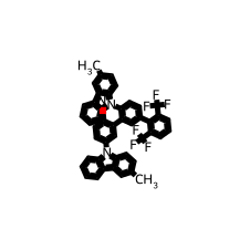 Cc1ccc2c(c1)c1ccccc1n2-c1ccc(C#N)c(-c2cc(-c3c(C(F)(F)F)cccc3C(F)(F)F)ccc2-n2c3ccccc3c3cc(C)ccc32)c1